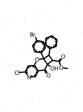 COC(=O)C1C(c2ccccc2)C2(c3ccc(Br)cc3)Oc3cc(Cl)ncc3C(=O)C12O